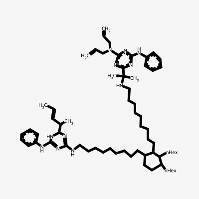 C=CCN(CC=C)c1nc(Nc2ccccc2)nc(C(C)(C)NCCCCCCCCCC2C(CCCCCCCCCNC3=NC(C(C)C=CC)NC(Nc4ccccc4)=N3)CCC(CCCCCC)C2CCCCCC)n1